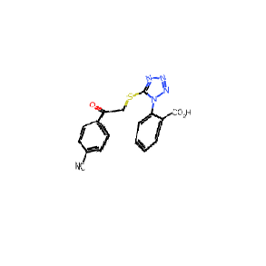 N#Cc1ccc(C(=O)CSc2nnnn2-c2ccccc2C(=O)O)cc1